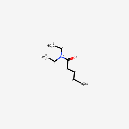 CCCCCCCCCCCC(=O)N(CC(=O)O)CC(=O)O